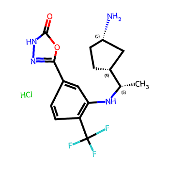 C[C@H](Nc1cc(-c2n[nH]c(=O)o2)ccc1C(F)(F)F)[C@@H]1CC[C@H](N)C1.Cl